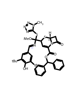 COC(/N=C/c1cc(C(C)(C)C)c(O)c(C(C)(C)C)c1)(Sc1nnnn1C)C1C=C(C(=O)OC(c2ccccc2)c2ccccc2)N2C(=O)C[C@H]2S1